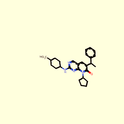 CC(c1ccccc1)c1cc2cnc(NC3CCC(C(=O)O)CC3)nc2n(C2CCCC2)c1=O